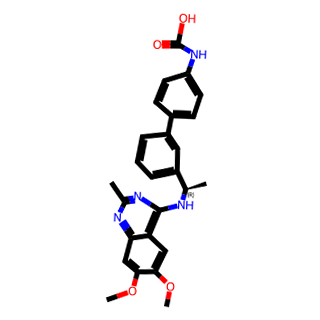 COc1cc2nc(C)nc(N[C@H](C)c3cccc(-c4ccc(NC(=O)O)cc4)c3)c2cc1OC